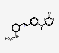 CN(c1cccc(/C=C/c2cccc(NC(=O)O)c2)c1)c1ccnc(Cl)n1